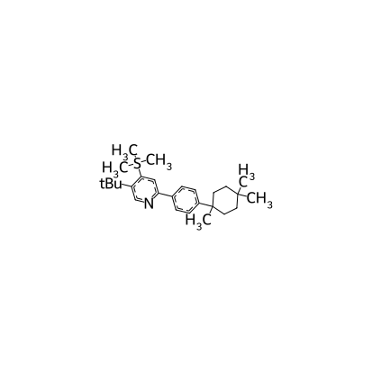 CC1(C)CCC(C)(c2ccc(-c3cc(S(C)(C)C)c(C(C)(C)C)cn3)cc2)CC1